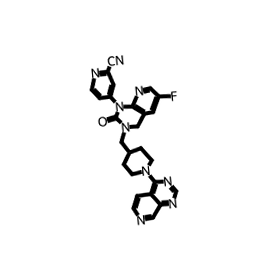 N#Cc1cc(N2C(=O)N(CC3CCN(c4ncnc5cnccc45)CC3)Cc3cc(F)cnc32)ccn1